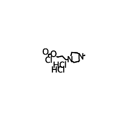 CN1CCN(CCCOC(=O)Cl)CC1.Cl.Cl